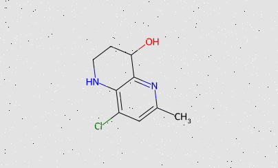 Cc1cc(Cl)c2c(n1)C(O)CCN2